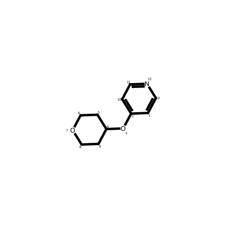 c1cc(OC2CCOCC2)ccn1